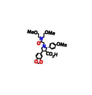 COCCN(CCOC)C(=O)CN1CC(c2ccc3c(c2)OCO3)[C@H](C(=O)O)[C@H]1c1ccc(OC)cc1